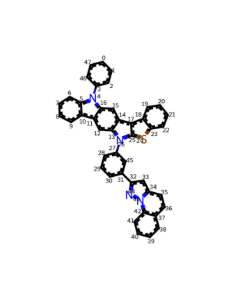 c1ccc(-n2c3ccccc3c3cc4c(cc32)c2c3ccccc3sc2n4-c2cccc(-c3cc4ccc5ccccc5n4n3)c2)cc1